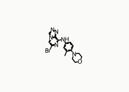 Cc1cc(Nc2nc(Br)cn3cnnc23)ccc1N1CCOCC1